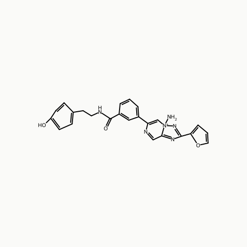 N[N+]12C=C(c3cccc(C(=O)NCCc4ccc(O)cc4)c3)N=CC1=NC(c1ccco1)=N2